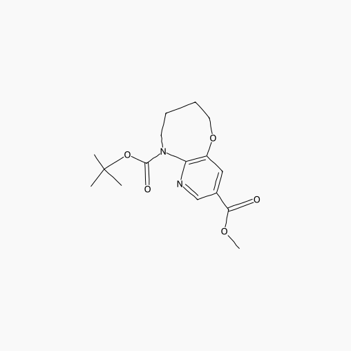 COC(=O)c1cnc2c(c1)OCCCCN2C(=O)OC(C)(C)C